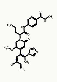 C=C/C(Cl)=C\C(=C(/C)n1cnnn1)c1cc(=O)n(C(CCC)C(=O)Nc2ccc(C(=O)NC)nc2)cc1OC